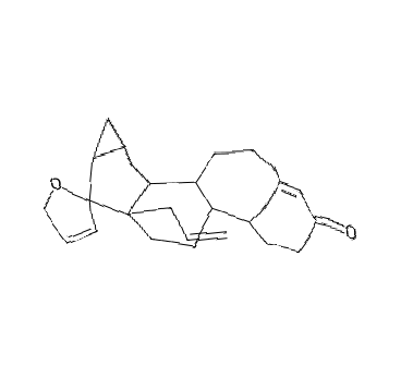 C=CCC12CCC3C4CCC(=O)C=C4CCC3C1C1CC1C21C=CCO1